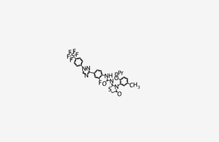 CCCOc1ccc(C)cc1N1C(=O)CSC1=NC(=O)Nc1ccc(-c2ncn(-c3ccc(S(F)(F)(F)(F)F)cc3)n2)cc1F